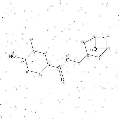 CC1CC(C(=O)OCC2CC3CC(C2)O3)CCC1O